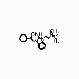 CN(C)CCn1c(=N)n(CC(=O)C2CCCCC2)c2ccccc21